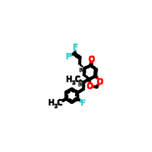 Cc1ccc(C[C@H](C)[C@]23C[C@H](CC=C(F)F)C(=O)C=C2OCO3)c(F)c1